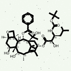 CC1=C2[C@H](C)[C@H](O)[C@@]3(C)[C@H]([C@H](OC(=O)c4ccccc4)[C@](C(C)(C)O)(C[C@@H]1OC(=O)[C@H](O)[C@H](CC(C)C)NC(=O)OC(C)(C)C)C2(C)C)[C@]1(C)CO[C@@H]1C[C@@H]3O